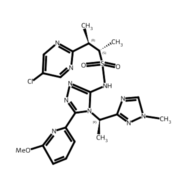 COc1cccc(-c2nnc(NS(=O)(=O)[C@@H](C)[C@H](C)c3ncc(Cl)cn3)n2[C@H](C)c2ncn(C)n2)n1